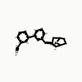 CN1C2CCC1CC(=Cc1cccc(-c3cccc(C#N)c3)c1)C2